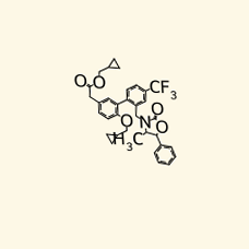 CC1C(c2ccccc2)OC(=O)N1Cc1cc(C(F)(F)F)ccc1-c1cc(CC(=O)OCC2CC2)ccc1OCC1CC1